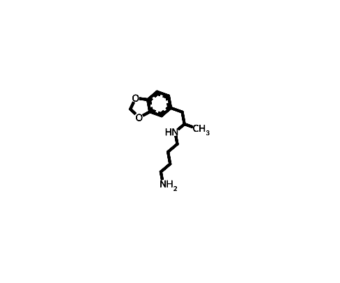 CC(Cc1ccc2c(c1)OCO2)NCCCCN